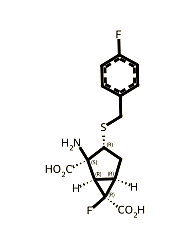 N[C@]1(C(=O)O)[C@H]2[C@@H](C[C@H]1SCc1ccc(F)cc1)[C@]2(F)C(=O)O